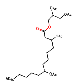 CCCCCCCCCCCCCCC(CCCCC(CC(=O)OCC(COC(C)=O)OC(C)=O)OC(C)=O)OC(C)=O